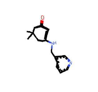 CC1(C)CC(=O)C=C(NCc2cccnc2)C1